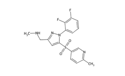 CNCc1cc(S(=O)(=O)c2ccc(C)nc2)n(-c2cccc(F)c2F)n1